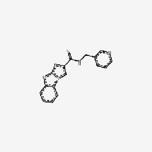 O=C(NCc1cccnc1)c1cn2c(n1)sc1ccccc12